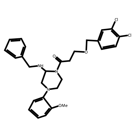 COc1ccccc1N1CCN(C(=O)CCOCc2ccc(Cl)c(Cl)c2)C(NCc2ccccc2)C1